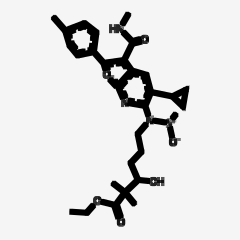 CCOC(=O)C(C)(C)C(O)CCCN(c1nc2oc(-c3ccc(C)cc3)c(C(=O)NC)c2cc1C1CC1)[S+](C)[O-]